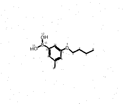 CCCCOc1cc(C)cc(B(O)O)c1